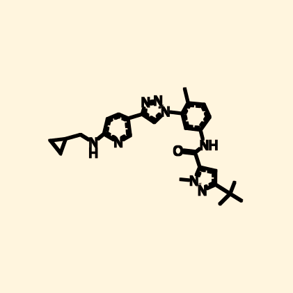 Cc1ccc(NC(=O)c2cc(C(C)(C)C)nn2C)cc1-n1cc(-c2ccc(NCC3CC3)nc2)nn1